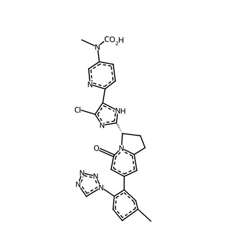 Cc1ccc(-n2cnnn2)c(-c2cc3n(c(=O)c2)[C@H](c2nc(Cl)c(-c4ccc(N(C)C(=O)O)cn4)[nH]2)CC3)c1